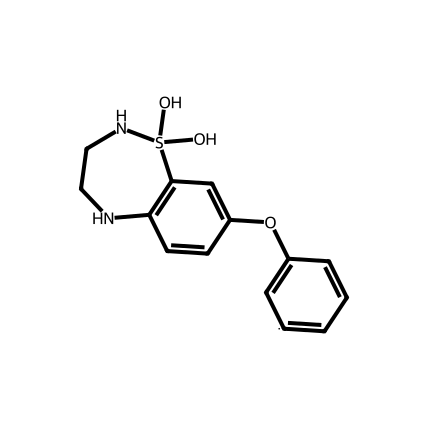 OS1(O)NCCNc2ccc(Oc3c[c]ccc3)cc21